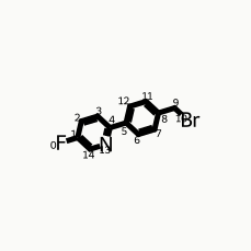 Fc1ccc(-c2ccc(CBr)cc2)nc1